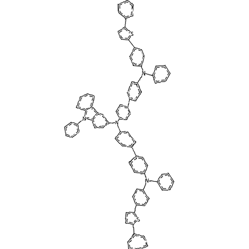 c1ccc(-c2ccc(-c3ccc(N(c4ccccc4)c4ccc(-c5ccc(N(c6ccc(-c7ccc(N(c8ccccc8)c8ccc(-c9ccc(-c%10ccccc%10)s9)cc8)cc7)cc6)c6ccc7c(c6)c6ccccc6n7-c6ccccc6)cc5)cc4)cc3)s2)cc1